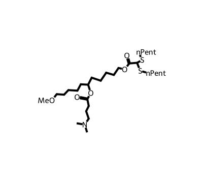 CCCCCSC(SCCCCC)C(=O)OCCCCCC(CCCCCOC)OC(=O)CCCN(C)C